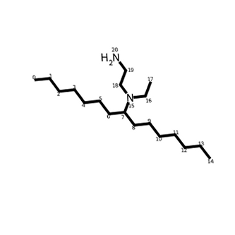 CCCCCCCC(CCCCCCC)N(CC)CCN